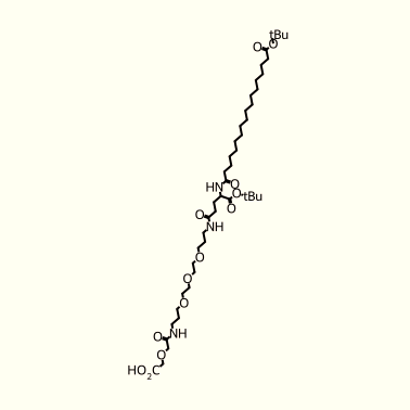 CC(C)(C)OC(=O)CCCCCCCCCCCCCCCCC(=O)NC(CCC(=O)NCCCOCCOCCOCCCNC(=O)COCC(=O)O)C(=O)OC(C)(C)C